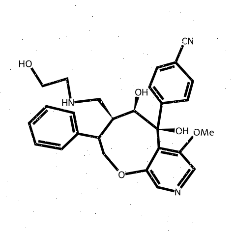 COc1cncc2c1[C@@](O)(c1ccc(C#N)cc1)[C@H](O)[C@H](CNCCO)C(c1ccccc1)CO2